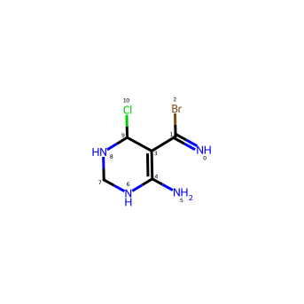 N=C(Br)C1=C(N)NCNC1Cl